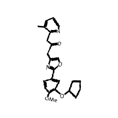 COc1ccc(-c2nc(CC(=O)Cc3ncccc3C)co2)cc1OC1CCCC1